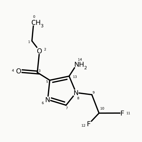 CCOC(=O)c1ncn(CC(F)F)c1N